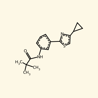 CC(C)(C)C(=O)Nc1cccc(-c2nc(C3CC3)cs2)c1